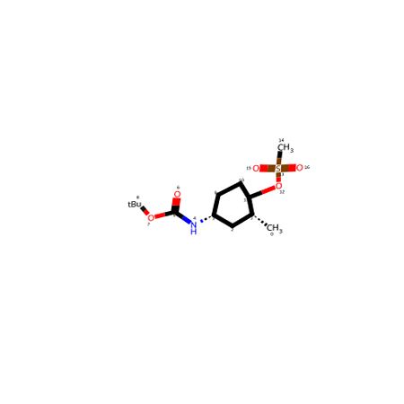 C[C@@H]1C[C@H](NC(=O)OC(C)(C)C)CCC1OS(C)(=O)=O